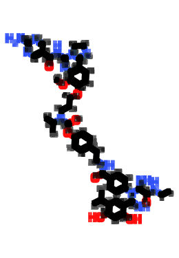 CCNC(=O)C(=N)N(C(=N)c1cc(C(C)C)c(O)cc1O)c1ccc(C(=O)NCCc2ccc(OC(=O)N(CCCOc3ccc4c(c3OC)N=C(NC(=O)c3cnc(N)nc3)N3CCN=C43)C(C)C)cc2)cc1